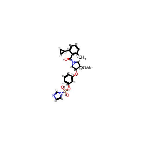 CO[C@@H]1CN(C(=O)c2c(C)cccc2C2CC2)C[C@H]1Oc1cccc(OS(=O)(=O)n2ccnc2)c1